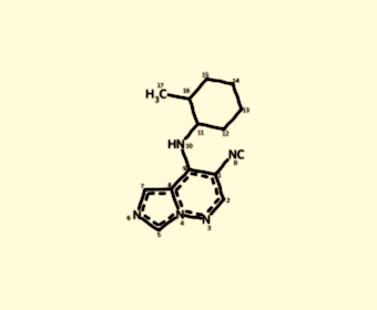 [C-]#[N+]c1cnn2cncc2c1NC1CCCCC1C